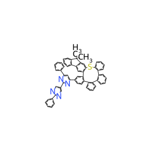 CC1(C)c2ccccc2-c2cc3c(cc21)Sc1ccccc1-c1ccccc1-c1ccccc1-c1ccc(-c2cc(-c4ccccc4)nc(-c4cnc(-c5ccccc5)nc4)n2)cc1-3